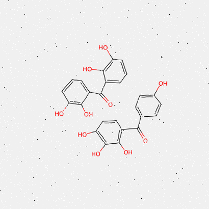 O=C(c1ccc(O)cc1)c1ccc(O)c(O)c1O.O=C(c1cccc(O)c1O)c1cccc(O)c1O